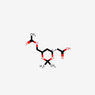 CC(=O)OCC1C[C@H](CC(=O)O)OC(C)(C)O1